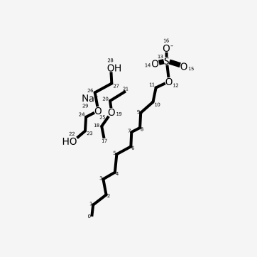 CCCCCCCCCCCCOS(=O)(=O)[O-].CCOCC.OCCOCCO.[Na+]